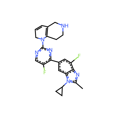 Cc1nc2c(F)cc(-c3nc(N4CC=CC5=C4CCNC5)ncc3F)cc2n1C1CC1